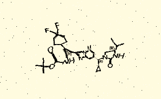 CC(C)[C@@H]1CN([C@@H](c2cnn3cc([C@@H](NC(=O)OC(C)(C)C)C4CCC(F)(F)CC4)nc3c2)C2CC2)C(=O)N1